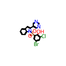 O=S(=O)(c1cc(Br)cc(Cl)c1O)n1c(-c2cncnc2)cc2ccccc21